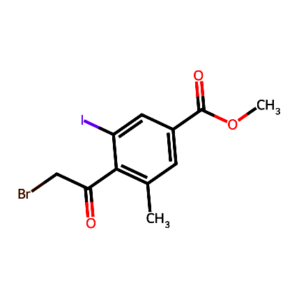 COC(=O)c1cc(C)c(C(=O)CBr)c(I)c1